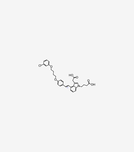 O=C(O)CCCn1cc(CC(=O)O)c2c(/C=C/c3ccc(OCCCCOc4cccc(Cl)c4)cc3)cccc21